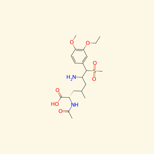 CCOc1cc(C(C(N)CC(C)C[C@H](NC(C)=O)C(=O)O)S(C)(=O)=O)ccc1OC